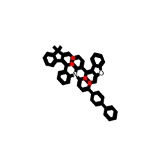 CC1(C)c2ccccc2-c2c(-c3ccccc3N(c3ccc(C4C=CC(c5ccccc5)=CC4)cc3)c3ccccc3-c3cccc4oc5ccccc5c34)cccc21